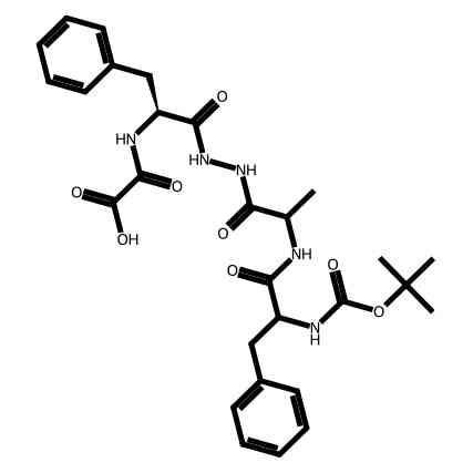 CC(NC(=O)C(Cc1ccccc1)NC(=O)OC(C)(C)C)C(=O)NNC(=O)[C@H](Cc1ccccc1)NC(=O)C(=O)O